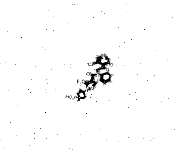 C[C@]1(C(=O)O)CC[C@H](n2ncc(C(=O)N(CC(=O)c3c(Cl)cncc3Cl)C3CCCCC3)c2C(F)(F)F)CC1